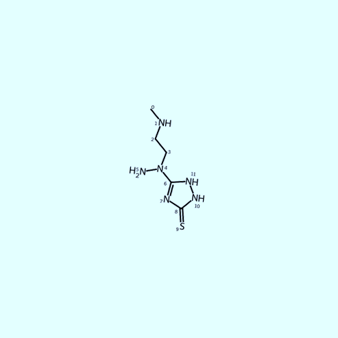 CNCCN(N)c1nc(=S)[nH][nH]1